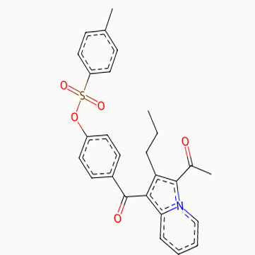 CCCc1c(C(=O)c2ccc(OS(=O)(=O)c3ccc(C)cc3)cc2)c2ccccn2c1C(C)=O